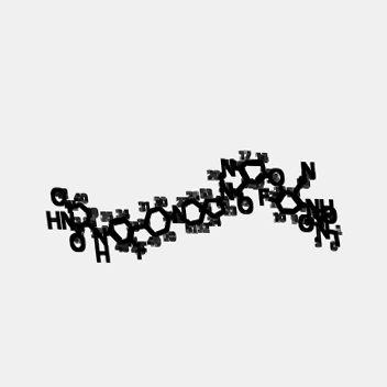 CCN(C)S(=O)(=O)Nc1ccc(F)c(Oc2ccc3ncn([C@@H]4CCC5(CCN(C6CCC(c7ccc(NC8CCC(=O)NC8=O)cc7F)CC6)CC5)C4)c(=O)c3c2)c1C#N